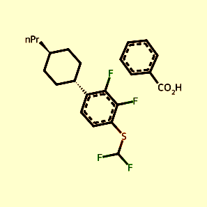 CCC[C@H]1CC[C@H](c2ccc(SC(F)F)c(F)c2F)CC1.O=C(O)c1ccccc1